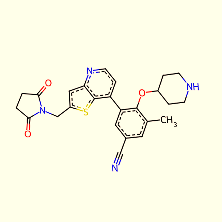 Cc1cc(C#N)cc(-c2ccnc3cc(CN4C(=O)CCC4=O)sc23)c1OC1CCNCC1